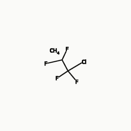 C.FC(F)C(F)(F)Cl